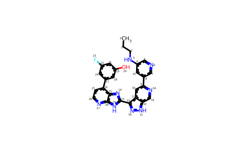 CCCNc1cncc(-c2cc3c(-c4nc5c(-c6cc(O)cc(F)c6)ccnc5[nH]4)n[nH]c3cn2)c1